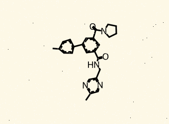 Cc1ccc(-c2cc(C(=O)NCc3cnc(C)cn3)cc(C(=O)N3CCCC3)c2)cc1